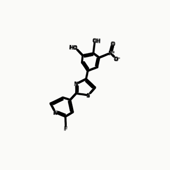 O=[N+]([O-])c1cc(-c2csc(-c3ccnc(F)c3)n2)cc(O)c1O